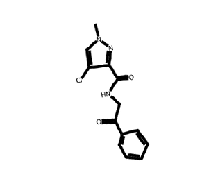 Cn1cc(Cl)c(C(=O)NCC(=O)c2ccccc2)n1